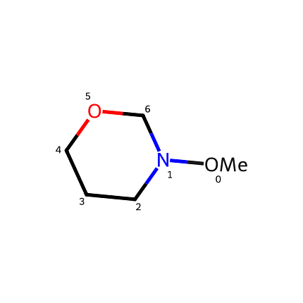 CON1CCCOC1